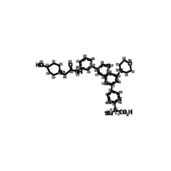 CC(C)(C)N(C(=O)O)c1ncc(-c2nc(N3CCOCC3)c3ncc(-c4cccc(NC(=O)CN5CCC(O)CC5)c4)cc3n2)cn1